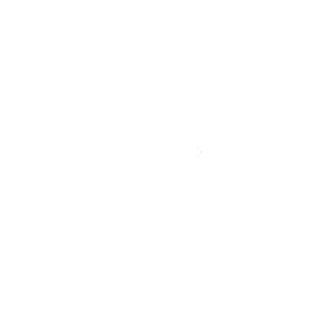 O=S1(=O)C(Cc2ccccc2)CCCN1Cc1ccc(O)cc1